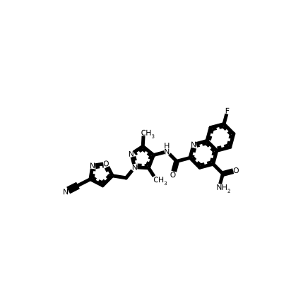 Cc1nn(Cc2cc(C#N)no2)c(C)c1NC(=O)c1cc(C(N)=O)c2ccc(F)cc2n1